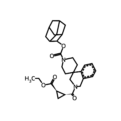 CCOC(=O)[C@@H]1C[C@H]1C(=O)N1Cc2ccccc2C2(CCN(C(=O)OC3C4CC5CC(C4)CC3C5)CC2)C1